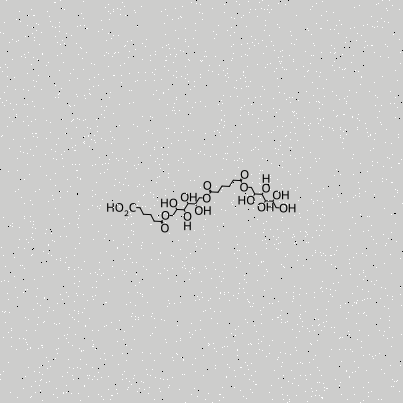 O=C(O)CCCCC(=O)OCC(O)C(O)C(O)C(O)COC(=O)CCCCC(=O)OCC(O)C(O)C(O)C(O)CO